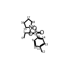 CCC[N+]1(OS(=O)(=O)c2ccc(C)cc2)CCCC1